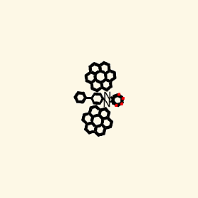 C1=CC(N(c2ccccc2)c2cc3ccc4ccc5ccc6ccc7ccc2c2c7c6c5c4c32)(N(c2ccccc2)c2cc3ccc4ccc5ccc6ccc7ccc2c2c7c6c5c4c32)C=CC1c1ccccc1